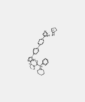 O=C([C@@H](c1ccccc1)N1CCCCC1)N1CCC[C@H]1c1ncc(-c2ccc(-c3ccc(-c4cnc([C@@H]5CCCN5)[nH]4)cc3)cc2)[nH]1